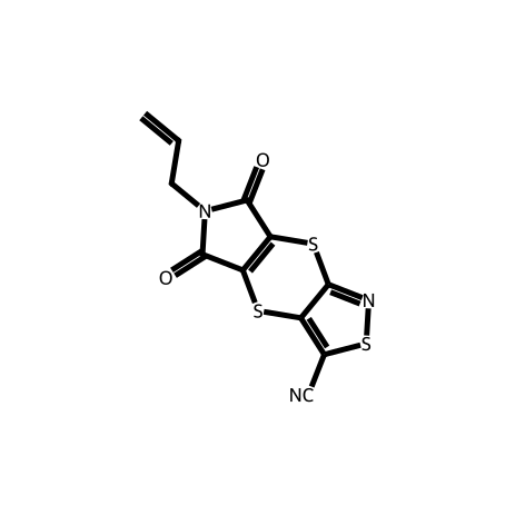 C=CCn1c(=O)c2sc3nsc(C#N)c3sc=2c1=O